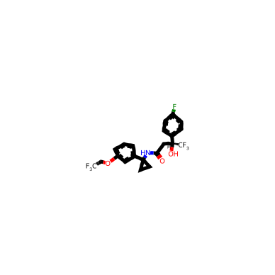 O=C(C[C@@](O)(c1ccc(F)cc1)C(F)(F)F)NC1(c2cccc(OCC(F)(F)F)c2)CC1